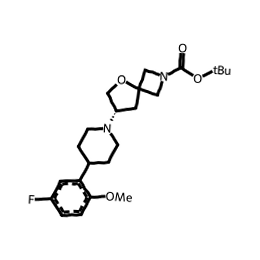 COc1ccc(F)cc1C1CCN([C@@H]2COC3(C2)CN(C(=O)OC(C)(C)C)C3)CC1